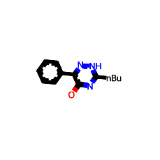 CCCCc1nc(=O)c(-c2ccccc2)n[nH]1